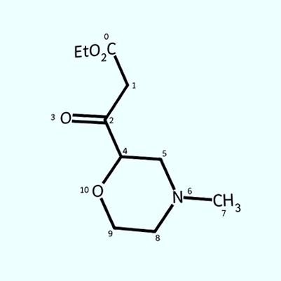 CCOC(=O)CC(=O)C1CN(C)CCO1